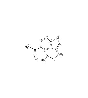 CCOC=O.NC(=O)c1ccc2[nH]ccc2c1